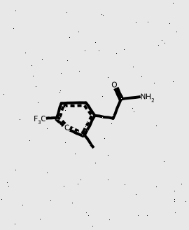 Cc1cc(C(F)(F)F)ccc1CC(N)=O